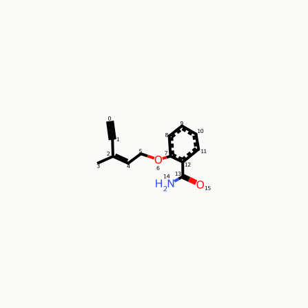 C#CC(C)=CCOc1ccccc1C(N)=O